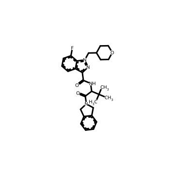 CC(C)(C)C(NC(=O)c1nn(CC2CCOCC2)c2c(F)cccc12)C(=O)N1Cc2ccccc2C1